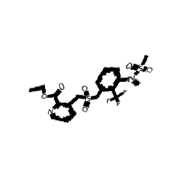 CCOC(=O)c1ncccc1CS(=O)(=O)Cc1cccc(N(C)S(C)(=O)=O)c1C(F)(F)F